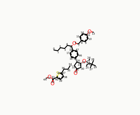 CCCCCC(OCc1ccc(OC)cc1)c1ccc([C@H]2[C@H](O[Si](C)(C)C(C)(C)C)CC(=O)[C@@H]2CCCc2ccc(C(=O)OC)s2)cc1